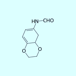 O=CNC1=CC=C2OCCOC2C1